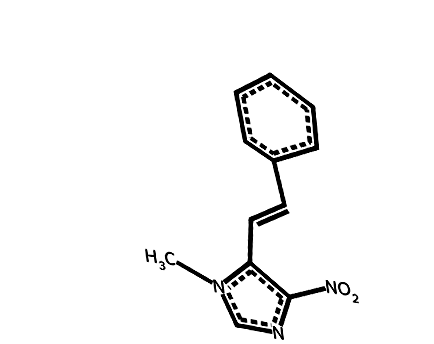 Cn1cnc([N+](=O)[O-])c1C=Cc1ccccc1